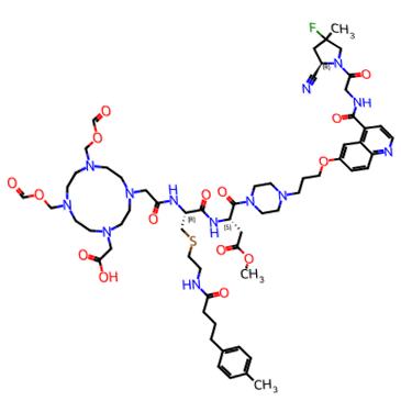 COC(=O)C[C@H](NC(=O)[C@H](CSCCNC(=O)CCCc1ccc(C)cc1)NC(=O)CN1CCN(COC=O)CCN(COC=O)CCN(CC(=O)O)CC1)C(=O)N1CCN(CCCOc2ccc3nccc(C(=O)NCC(=O)N4CC(C)(F)C[C@@H]4C#N)c3c2)CC1